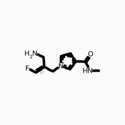 CNC(=O)c1ccn(C/C(=C/F)CN)c1